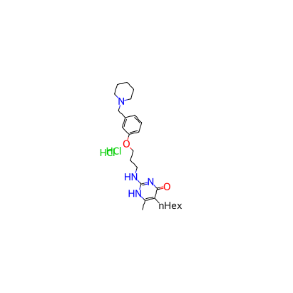 CCCCCCc1c(C)[nH]c(NCCCOc2cccc(CN3CCCCC3)c2)nc1=O.Cl.Cl